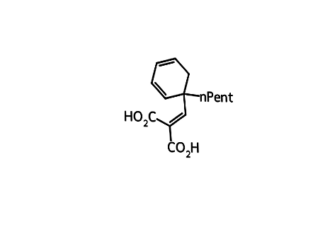 CCCCCC1(C=C(C(=O)O)C(=O)O)C=CC=CC1